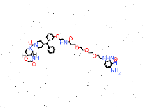 Nc1ccc(NCCOCCOCCOCCC(=O)NCCOc2cccc(C(c3ccccc3)C3CCN(C(=O)N4CC[C@@H]5OCC(=O)N[C@@H]5C4)CC3)c2)c2nonc12